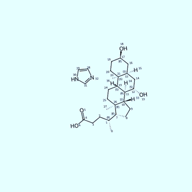 C[C@H](CCC(=O)O)[C@H]1CC[C@H]2[C@@H]3[C@@H](O)C[C@@H]4C[C@H](O)CC[C@]4(C)[C@H]3CC[C@]12C.c1c[nH]cn1